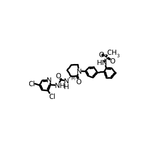 CS(=O)(=O)Nc1ccccc1-c1ccc(N2CCC[C@@H](NC(=O)Nc3ncc(Cl)cc3Cl)C2=O)cc1